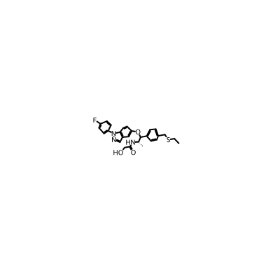 CCSCc1ccc(C(Oc2ccc3c(cnn3-c3ccc(F)cc3)c2)[C@H](C)NC(=O)CO)cc1